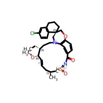 CC[C@@H]1CCN2C[C@@]3(CCCc4cc(Cl)ccc43)COc3ccc(cc32)C(=O)/N=[SH](=O)\C[C@@H](C)C/C=C/[C@@H]1OC